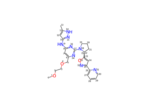 COCCOCc1cc(Nc2cc(C)[nH]n2)nc(N2CCC[C@H]2c2cc(-c3ccccn3)no2)n1